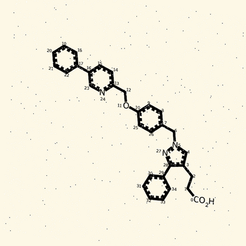 O=C(O)CCc1cn(Cc2ccc(OCc3ccc(-c4ccccc4)cn3)cc2)nc1-c1ccccc1